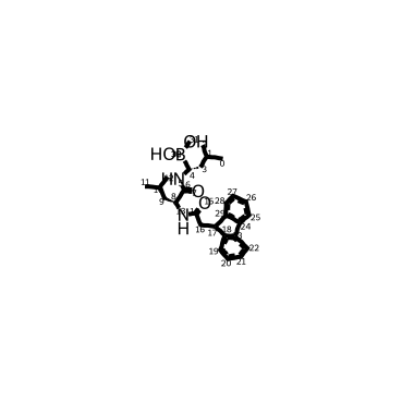 CC(C)C[C@H](NC(=O)[C@H](CC(C)C)NC(=O)CC1c2ccccc2-c2ccccc21)B(O)O